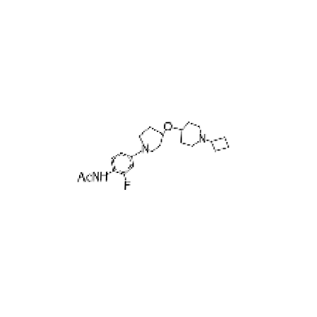 CC(=O)Nc1ccc(N2CCC(OC3CCN(C4CCC4)CC3)CC2)cc1F